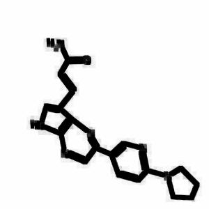 NC(=O)C=Cc1c[nH]c2ncc(-c3ccc(N4CCCC4)nc3)nc12